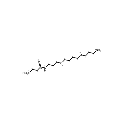 NCCCOCCCCOCCCNC(=O)CCC(=O)O